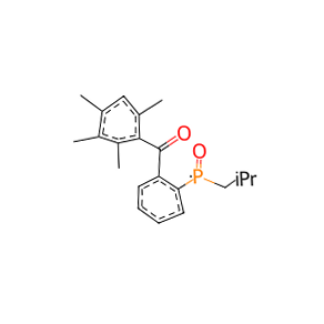 Cc1cc(C)c(C(=O)c2ccccc2[P](=O)CC(C)C)c(C)c1C